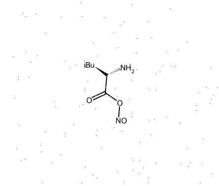 CC[C@H](C)[C@H](N)C(=O)ON=O